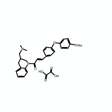 COc1ccc(Oc2ccc(/C=C/C(=O)N3CC(CN(C)C)Cc4ccccc43)cc2)cc1.O=C(O)C(=O)O